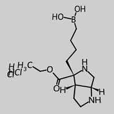 CCOC(=O)[C@]1(CCCCB(O)O)NC[C@@H]2NCC[C@@H]21.Cl.Cl